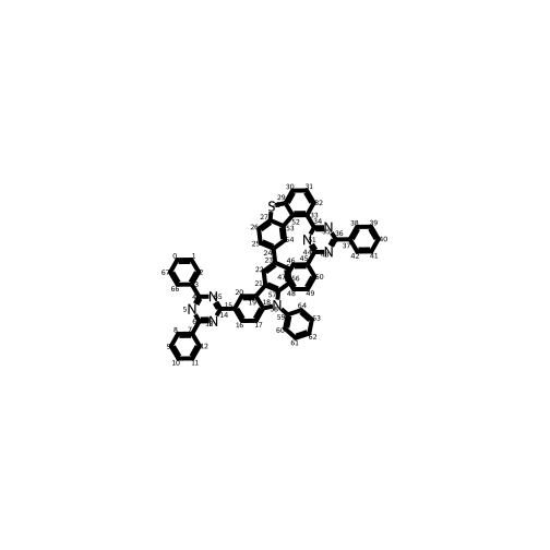 c1ccc(-c2nc(-c3ccccc3)nc(-c3ccc4c(c3)c3cc(-c5ccc6sc7cccc(-c8nc(-c9ccccc9)nc(-c9ccccc9)n8)c7c6c5)ccc3n4-c3ccccc3)n2)cc1